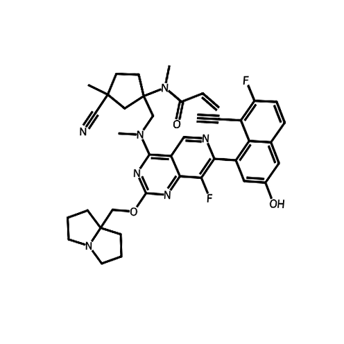 C#Cc1c(F)ccc2cc(O)cc(-c3ncc4c(N(C)CC5(N(C)C(=O)C=C)CCC(C)(C#N)C5)nc(OCC56CCCN5CCC6)nc4c3F)c12